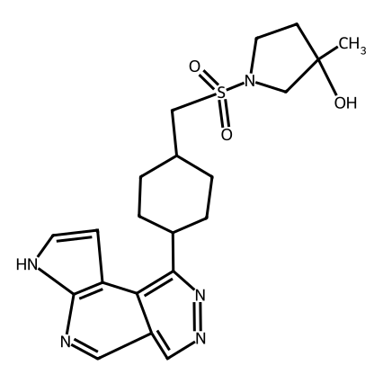 CC1(O)CCN(S(=O)(=O)CC2CCC(c3nncc4cnc5[nH]ccc5c34)CC2)C1